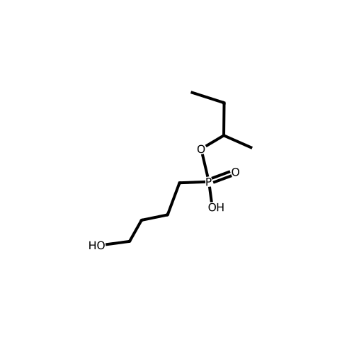 CCC(C)OP(=O)(O)CCCCO